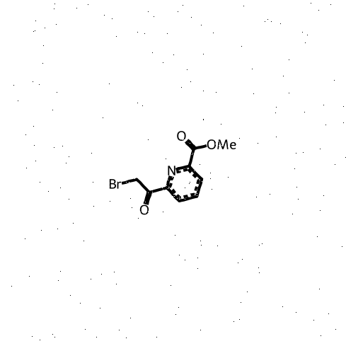 COC(=O)c1cccc(C(=O)CBr)n1